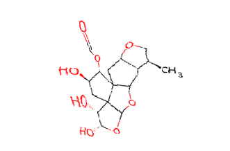 C[C@@H]1COC2CC34C(OC5O[C@H](O)[C@H](O)C53C[C@@H](O)C4OC=O)C21